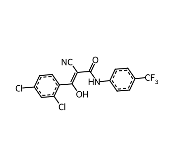 N#CC(C(=O)Nc1ccc(C(F)(F)F)cc1)=C(O)c1ccc(Cl)cc1Cl